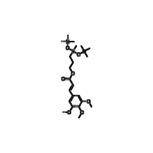 COc1cc(C=CC(=O)OCCC[Si](C)(O[Si](C)(C)C)O[Si](C)(C)C)cc(OC)c1OC